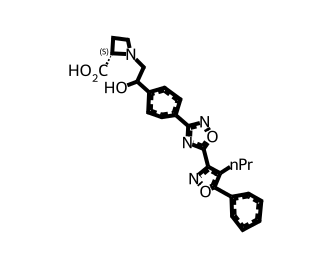 CCCc1c(-c2nc(-c3ccc(C(O)CN4CC[C@H]4C(=O)O)cc3)no2)noc1-c1ccccc1